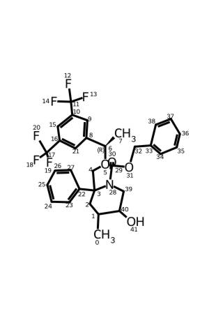 CC1CC(CO[C@H](C)c2cc(C(F)(F)F)cc(C(F)(F)F)c2)(c2ccccc2)N(C(=O)OCc2ccccc2)CC1O